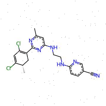 Cc1cc(NCCNc2ccc(C#N)cn2)nc(C2=C(Cl)C=C(Cl)[C@@H](C)C2)n1